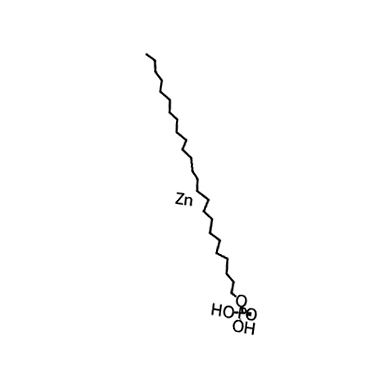 CCCCCCCCCCCCCCCCCCCCCCCCCOP(=O)(O)O.[Zn]